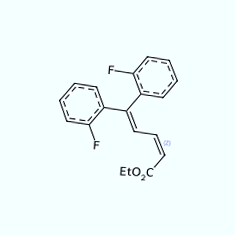 CCOC(=O)/C=C\C=C(c1ccccc1F)c1ccccc1F